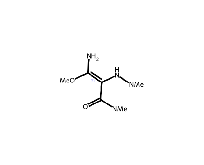 CNN/C(C(=O)NC)=C(\N)OC